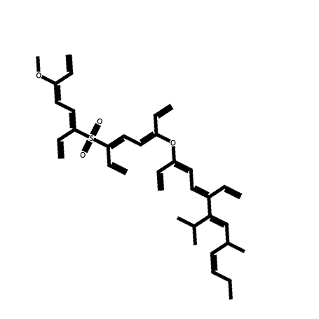 C=C/C(=C\C=C(/C=C)S(=O)(=O)/C(C=C)=C/C=C(\C=C)O/C(C=C)=C/C=C(C=C)/C(=C/C(C)/C=C\CC)C(C)C)OC